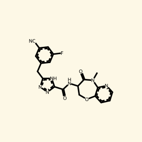 CN1C(=O)C(NC(=O)c2nnc(Cc3cc(F)cc(C#N)c3)[nH]2)COc2cccnc21